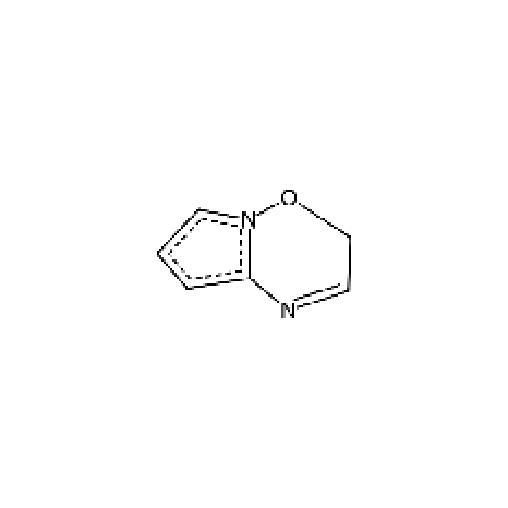 C1=Nc2cccn2OC1